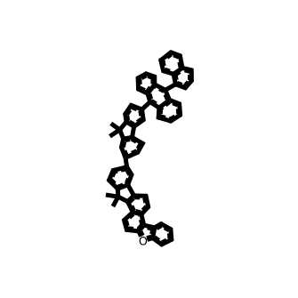 CC1(C)c2ccc(-c3c4ccccc4c(-c4cccc5ccccc45)c4ccccc34)cc2-c2ccc(-c3ccc4c(c3)-c3ccc5c(ccc6oc7ccccc7c65)c3C4(C)C)cc21